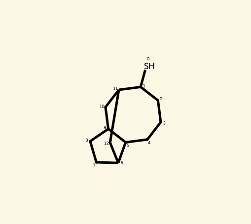 SC1CCCC2C3CCC2CC1C3